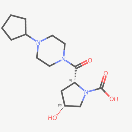 O=C([C@H]1C[C@@H](O)CN1C(=O)O)N1CCN(C2CCCC2)CC1